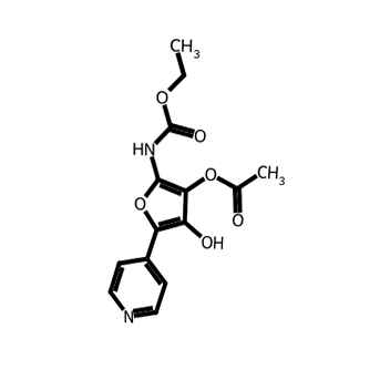 CCOC(=O)Nc1oc(-c2ccncc2)c(O)c1OC(C)=O